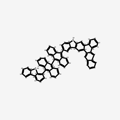 c1ccc2cc3c(cc2c1)c1ccccc1c1cc2sc4ccc(-c5c6ccccc6c(-c6c7ccccc7c(-c7cccc8c7sc7ccccc78)c7ccccc67)c6ccccc56)cc4c2cc31